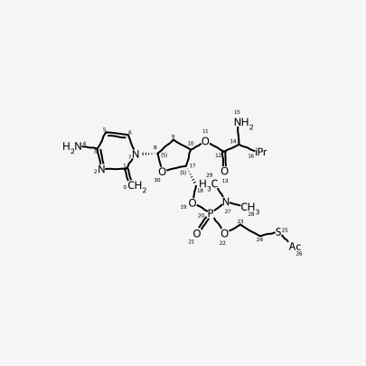 C=C1N=C(N)C=CN1[C@@H]1CC(OC(=O)C(N)C(C)C)[C@H](COP(=O)(OCCSC(C)=O)N(C)C)O1